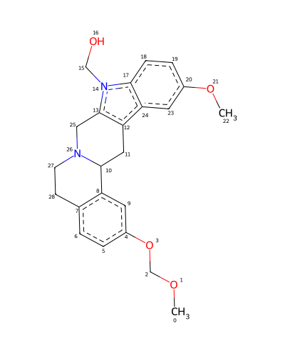 COCOc1ccc2c(c1)C1Cc3c(n(CO)c4ccc(OC)cc34)CN1CC2